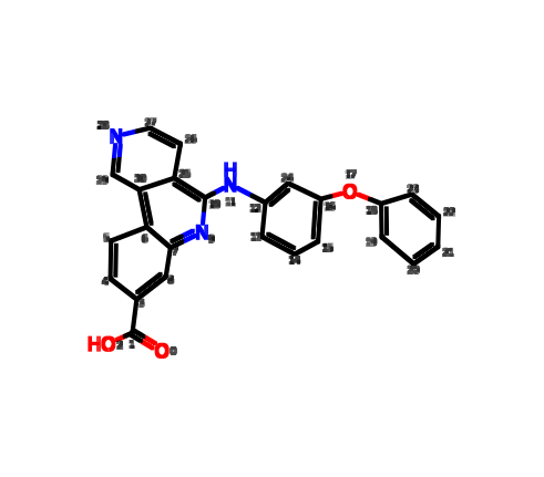 O=C(O)c1ccc2c(c1)nc(Nc1cccc(Oc3ccccc3)c1)c1ccncc12